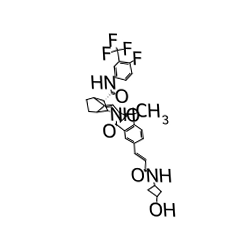 COc1ccc(/C=C/C(=O)NC2CC(O)C2)cc1C(=O)N[C@@H]1C2CCC(/C2=C/C2CC2)[C@@H]1C(=O)Nc1ccc(F)c(C(F)(F)F)c1